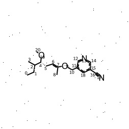 CCC(C)[C@@H](C/C=C(\C)OCc1cncc(C#N)c1)OC